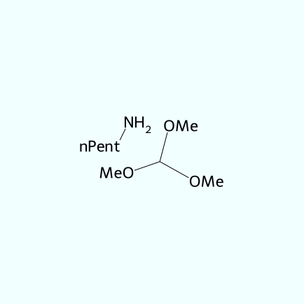 CCCCCN.COC(OC)OC